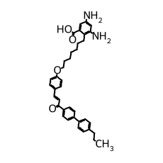 CCCc1ccc(-c2ccc(C(=O)/C=C/c3ccc(OCCCCCCCc4c(N)cc(N)cc4C(=O)O)cc3)cc2)cc1